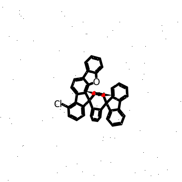 Clc1cccc2c1-c1ccc3c(oc4ccccc43)c1C21c2ccccc2C2(c3ccccc3-c3ccccc32)c2ccccc21